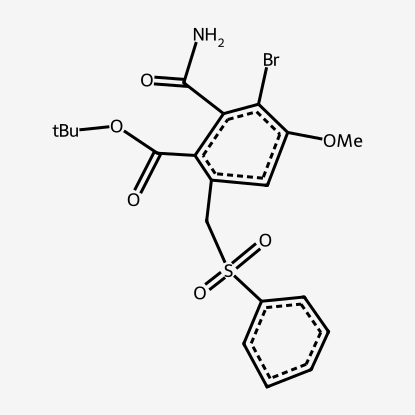 COc1cc(CS(=O)(=O)c2ccccc2)c(C(=O)OC(C)(C)C)c(C(N)=O)c1Br